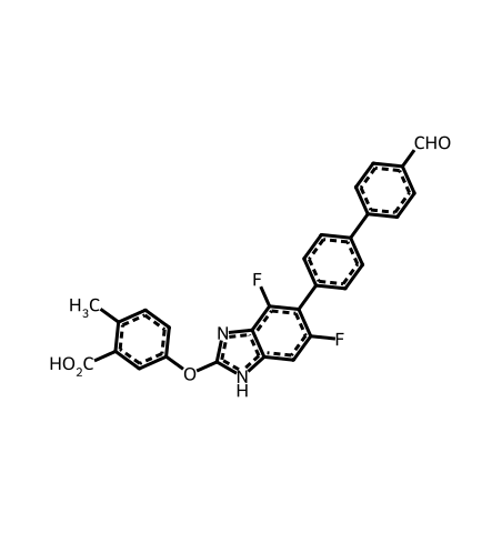 Cc1ccc(Oc2nc3c(F)c(-c4ccc(-c5ccc(C=O)cc5)cc4)c(F)cc3[nH]2)cc1C(=O)O